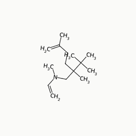 C=CN(C)CC(C)(CCC(=C)C)C(C)(C)C